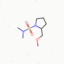 COCC1C[CH]CN1S(=O)(=O)N(C)C